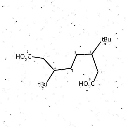 CC(C)(C)C(CCC(CC(=O)O)C(C)(C)C)CC(=O)O